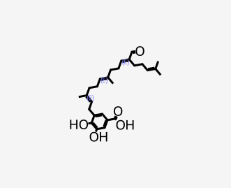 CC(C)=CCC/C(C=O)=C\CC/C(C)=C/CC/C(C)=C/Cc1cc(C(=O)O)cc(O)c1O